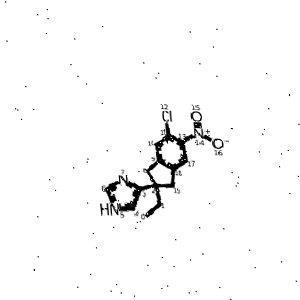 CCC1(c2c[nH]cn2)Cc2cc(Cl)c([N+](=O)[O-])cc2C1